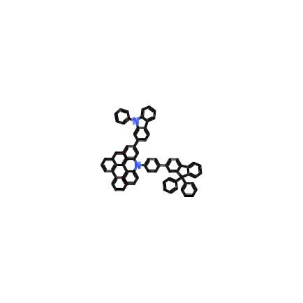 c1ccc(-c2cccc3cccc(-c4ccccc4N(c4ccc(-c5ccc6c(c5)C(c5ccccc5)(c5ccccc5)c5ccccc5-6)cc4)c4cccc(-c5ccc6c7ccccc7n(-c7ccccc7)c6c5)c4)c23)cc1